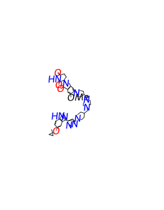 COc1cc2c(cc1N1CCC(CN3CCN(CC4CCN(c5cc(-c6n[nH]c7ccc(OC8(C)CC8)cc67)ncn5)CC4)CC3)CC1)CN(C1CCC(=O)NC1=O)C2=O